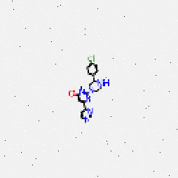 Cn1c(N2CCNC([C@@H]3C=CC(Cl)=CC3)C2)nc(-c2ccncn2)cc1=O